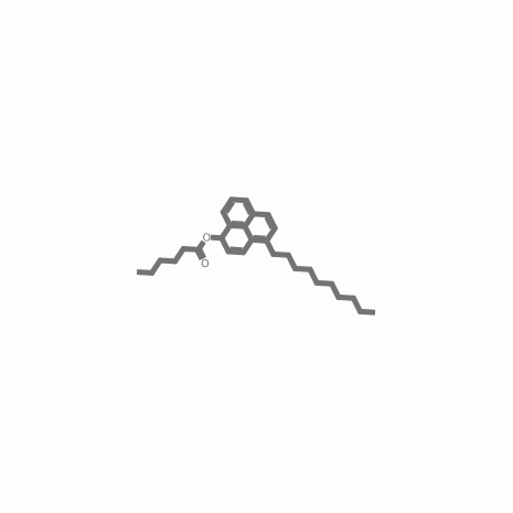 CCCCCCCCCCc1ccc2cccc3c2c1C=CC3OC(=O)CCCCC